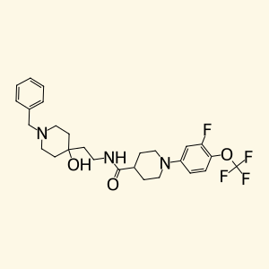 O=C(NCCC1(O)CCN(Cc2ccccc2)CC1)C1CCN(c2ccc(OC(F)(F)F)c(F)c2)CC1